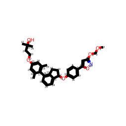 COCOc1cc(-c2ccc(OC3CCc4c(-c5c(C)cc(OCCC(C)(C)O)cc5C)cccc43)cc2)on1